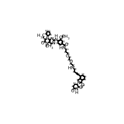 CC[C@@H]1C(=O)N(C)c2cnc(Nc3ccc(C(=O)NCCCOCCOCCNCCC#Cc4cccc5c4CN(C4CCC(=O)NC4=O)C5=O)cc3OC)nc2N1C1CCCC1